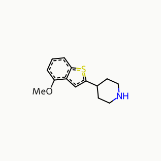 COc1cccc2sc(C3CCNCC3)cc12